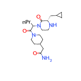 CCCC(C(=O)N1CCC(CC(N)=O)CC1)N1CCN[C@@H](CC2CC2)C1=O